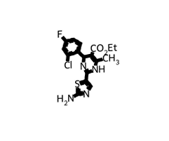 CCOC(=O)C1=C(C)NC(c2cnc(N)s2)=NC1c1ccc(F)cc1Cl